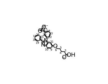 O=C(O)CCCCOc1ccc2nc(-c3ccccc3)n(-c3cccc([N+](=O)[O-])c3)c2c1